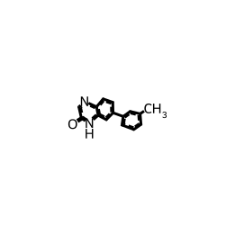 Cc1cccc(-c2ccc3ncc(=O)[nH]c3c2)c1